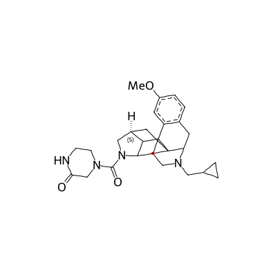 COc1ccc2c(c1)C13CCN(CC4CC4)C(C2)C12CCC1C3[C@@H](CN1C(=O)N1CCNC(=O)C1)C2